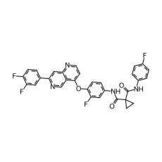 O=C(Nc1ccc(F)cc1)C1(C(=O)Nc2ccc(Oc3ccnc4cc(-c5ccc(F)c(F)c5)ncc34)c(F)c2)CC1